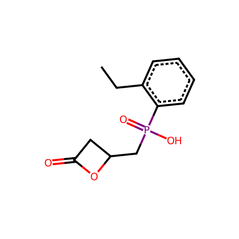 CCc1ccccc1P(=O)(O)CC1CC(=O)O1